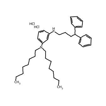 CCCCCCCCN(CCCCCCCC)c1cccc(PCCCC(c2ccccc2)c2ccccc2)c1.Cl.Cl